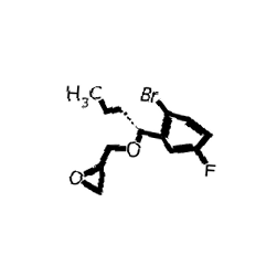 CCC[C@@H](OCC1CO1)c1cc(F)ccc1Br